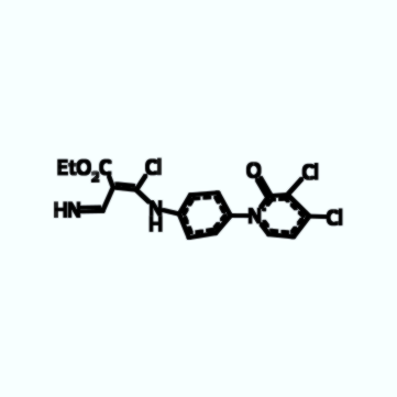 CCOC(=O)/C(C=N)=C(\Cl)Nc1ccc(-n2ccc(Cl)c(Cl)c2=O)cc1